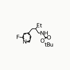 CCC(CNC(=O)OC(C)(C)C)Cc1ccnc(F)c1